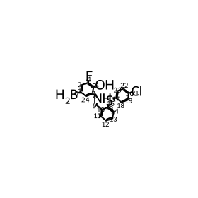 Bc1cc(F)c(O)c(NCc2ccccc2Sc2ccc(Cl)cc2)c1